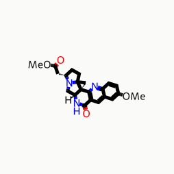 COC(=O)C[C@@H]1CCC23C[C@@]24c2nc5ccc(OC)cc5cc2C(=O)N[C@H]4CN13